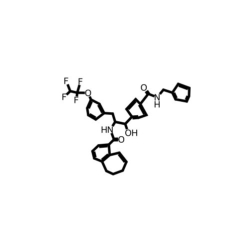 O=C(NCc1ccccc1)c1ccc(C(O)C(Cc2cccc(OC(F)(F)C(F)F)c2)NC(=O)c2cccc3c2C=CCCC3)cc1